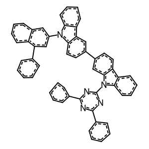 c1ccc(-c2nc(-c3ccccc3)nc(-n3c4ccccc4c4ccc(-c5ccc6c(c5)c5ccccc5n6-c5cc(-c6ccccc6)c6ccccc6c5)cc43)n2)cc1